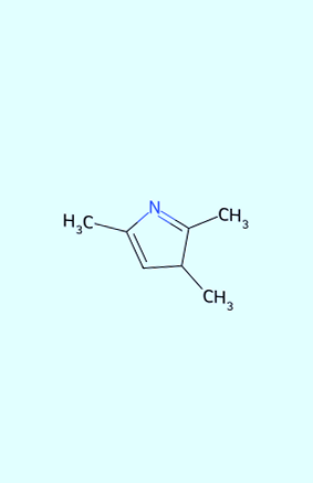 CC1=CC(C)C(C)=N1